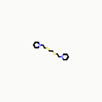 C1=CCN(CCSCCSCC[n+]2ccccc2)C=C1